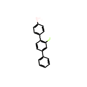 Bc1ccc(-c2ccc(-c3ccccc3)cc2F)cc1